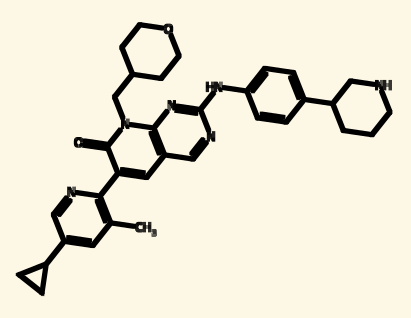 Cc1cc(C2CC2)cnc1-c1cc2cnc(Nc3ccc(C4CCCNC4)cc3)nc2n(CC2CCOCC2)c1=O